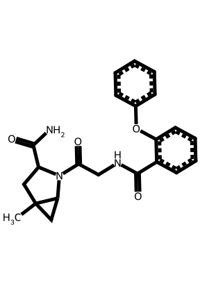 CC12CC(C(N)=O)N(C(=O)CNC(=O)c3ccccc3Oc3ccccc3)C1C2